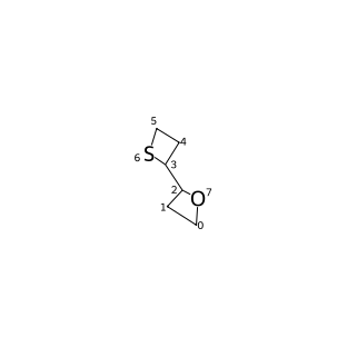 C1CC(C2CCS2)O1